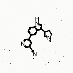 CN1CCC(c2c[nH]c3ccc(-c4cncc(C#N)c4)cc23)C1